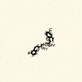 O[C@H](CNC[C@@H](O)[C@H]1CCc2cc(F)ccc2O1)C1CCc2cc(F)ccc2O1